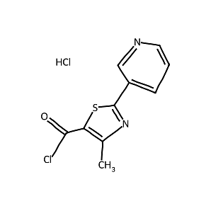 Cc1nc(-c2cccnc2)sc1C(=O)Cl.Cl